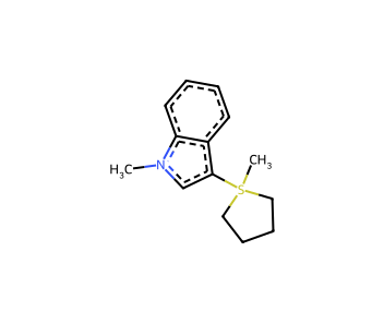 Cn1cc(S2(C)CCCC2)c2ccccc21